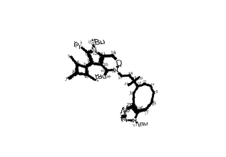 CC(C)c1c(C2C(C)C(C)C2C)c2c(n1C(C)(C)C)CON(CCC(C)(C)C1CCCCCc3c(nnn3C(C)(C)C)C1)C2C(C)(C)C